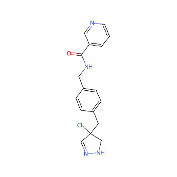 O=C(NCc1ccc(CC2(Cl)C=NNC2)cc1)c1cccnc1